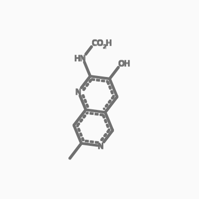 Cc1cc2nc(NC(=O)O)c(O)cc2cn1